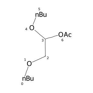 CCCCOCC(OCCCC)OC(C)=O